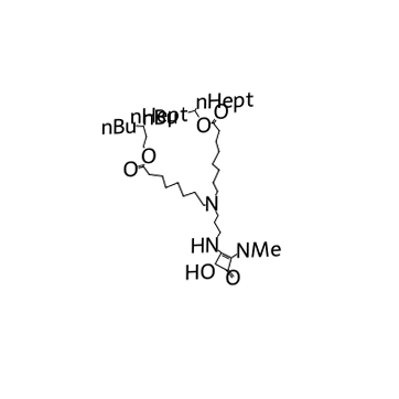 CCCCCCCC(CCCCCCC)OC(=O)CCCCCCCN(CCCCCCCC(=O)OCCC(CCCC)CCCC)CCCNC1=C(NC)C(=O)C1O